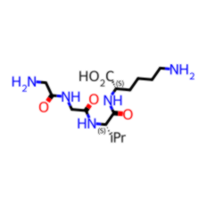 CC(C)[C@H](NC(=O)CNC(=O)CN)C(=O)N[C@@H](CCCCN)C(=O)O